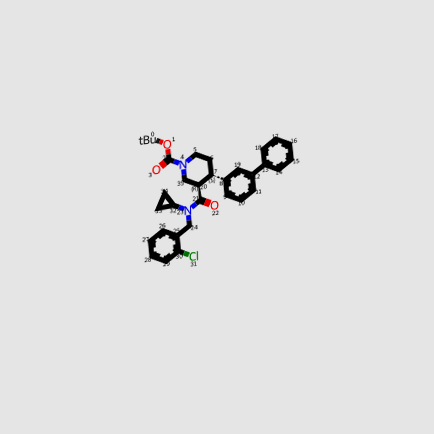 CC(C)(C)OC(=O)N1CC[C@H](c2cccc(-c3ccccc3)c2)[C@@H](C(=O)N(Cc2ccccc2Cl)C2CC2)C1